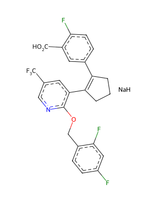 O=C(O)c1cc(C2=C(c3cc(C(F)(F)F)cnc3OCc3ccc(F)cc3F)CCC2)ccc1F.[NaH]